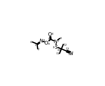 CC(C)=NOC(=O)N(C)SC(C)(C)C#N